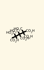 CC(C(=O)O)(C(=O)O)C(C(=O)O)(C(=O)O)C(C(=O)O)(C(=O)O)C(=O)O